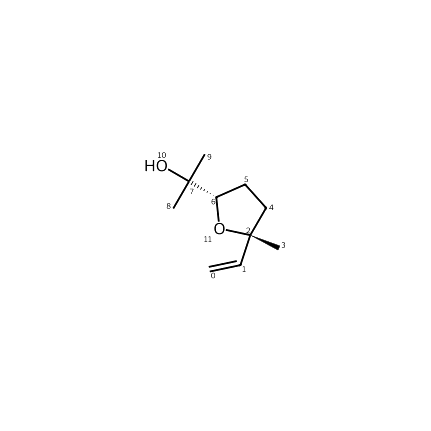 C=C[C@@]1(C)CC[C@@H](C(C)(C)O)O1